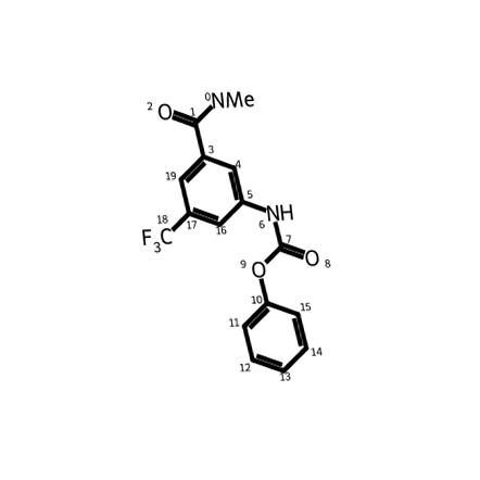 CNC(=O)c1cc(NC(=O)Oc2ccccc2)cc(C(F)(F)F)c1